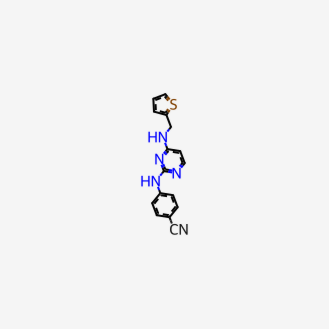 N#Cc1ccc(Nc2nccc(NCc3cccs3)n2)cc1